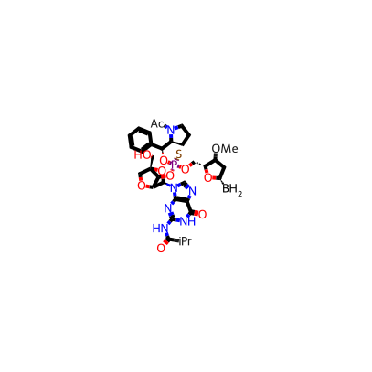 B[C@H]1CC(OC)[C@@H](COP(=S)(OC2C3OC[C@]2(CO)O[C@H]3n2cnc3c(=O)[nH]c(NC(=O)C(C)C)nc32)O[C@H](c2ccccc2)[C@@H]2CCCN2C(C)=O)O1